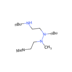 CCCCNCCN(CCCC)N(C)CCNC